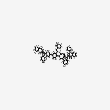 c1ccc(CC2CC3=Nc4c(c5ccccc5n4-c4nc(-c5ccccc5)c5ccccc5n4)CC3c3ccc(-c4ccc5c(c4)c4ccccc4n5-c4ccc5ccccc5c4)cc32)cc1